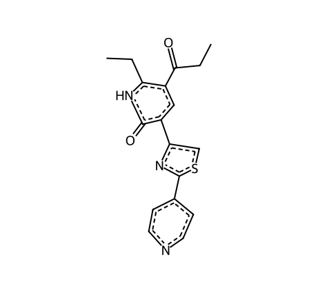 CCC(=O)c1cc(-c2csc(-c3ccncc3)n2)c(=O)[nH]c1CC